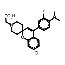 CN(C)c1ccc(C2=CC3(CCN(CC(=O)O)CC3)Oc3ccccc32)cc1F.Cl